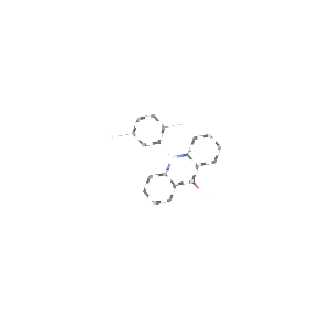 CC(C)(C)c1ccc(I)c(-n2c3ccccc3c(=O)c3ccccc32)c1